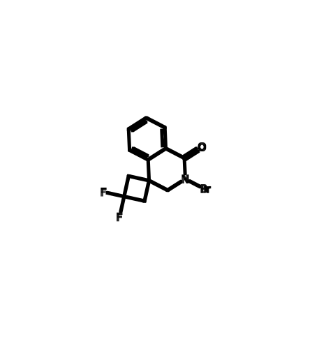 O=C1c2ccccc2C2(CN1Br)CC(F)(F)C2